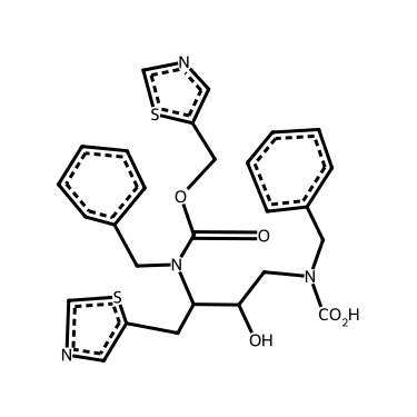 O=C(O)N(Cc1ccccc1)CC(O)C(Cc1cncs1)N(Cc1ccccc1)C(=O)OCc1cncs1